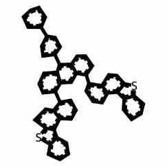 c1ccc(-c2ccc(-c3c4cccc(-c5cccc6c5ccc5sc7ccccc7c56)c4cc4c(-c5cccc6c5ccc5sc7ccccc7c56)cccc34)cc2)cc1